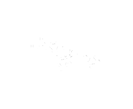 CCOC(Cc1ccc(OCCN(CCCCOc2cc(Cl)cc(Cl)c2)C(=O)Oc2c(C)cc(C)cc2C)cc1)C(=O)O